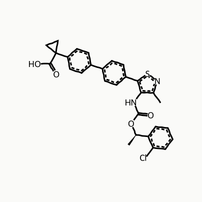 Cc1nsc(-c2ccc(-c3ccc(C4(C(=O)O)CC4)cc3)cc2)c1NC(=O)O[C@H](C)c1ccccc1Cl